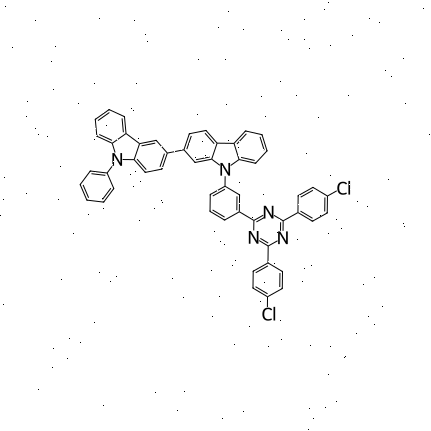 Clc1ccc(-c2nc(-c3ccc(Cl)cc3)nc(-c3cccc(-n4c5ccccc5c5ccc(-c6ccc7c(c6)c6ccccc6n7-c6ccccc6)cc54)c3)n2)cc1